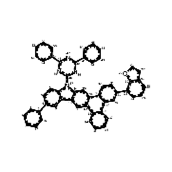 c1ccc(-c2ccc3c(c2)c2cc4c5ccccc5c5cc(-c6cccc7ccoc67)ccc5c4cc2n3-c2nc(-c3ccccc3)nc(-c3ccccc3)n2)cc1